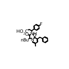 CCCCC(C(=O)NC(CC(=O)O)c1ccc(F)cc1)n1cc(C)cc(Cc2ccccc2)c1=O